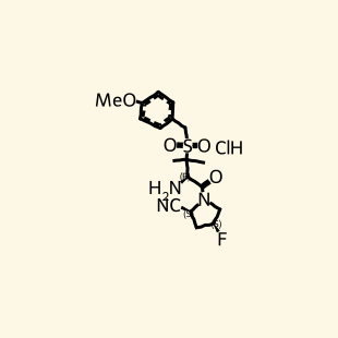 COc1ccc(CS(=O)(=O)C(C)(C)[C@H](N)C(=O)N2C[C@@H](F)C[C@H]2C#N)cc1.Cl